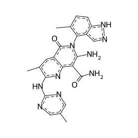 Cc1cnc(Nc2nc3c(C(N)=O)c(N)n(-c4c(C)ccc5[nH]ncc45)c(=O)c3cc2C)nc1